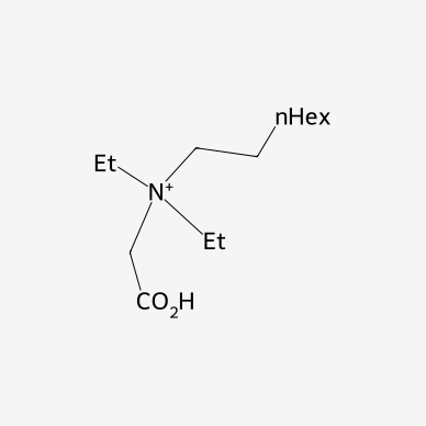 CCCCCCCC[N+](CC)(CC)CC(=O)O